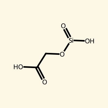 O=C(O)CO[Si](=O)O